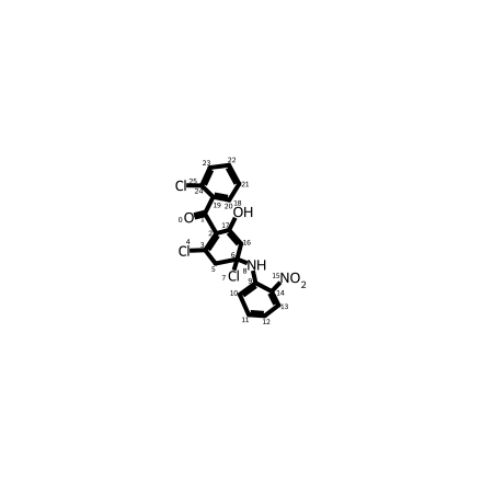 O=C(C1=C(Cl)CC(Cl)(Nc2ccccc2[N+](=O)[O-])C=C1O)c1ccccc1Cl